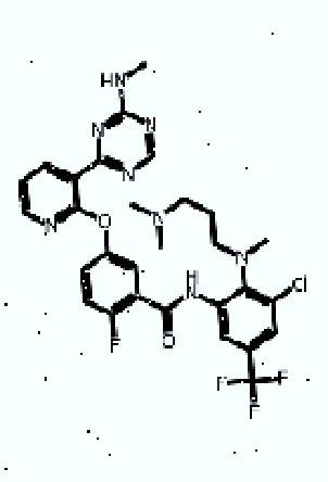 CNc1ncnc(-c2cccnc2Oc2ccc(F)c(C(=O)Nc3cc(C(F)(F)F)cc(Cl)c3N(C)CCCN(C)C)c2)n1